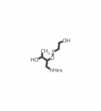 CCCCCCCC(OSCCO)C(C)O